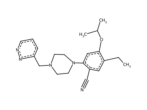 CCc1cc(C#N)c(N2CCN(Cc3cccnn3)CC2)cc1OC(C)C